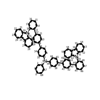 c1ccc(N(c2ccc(-c3ccc(-c4ccccc4-n4c5ccccc5c5ccccc54)cc3)cc2)c2ccc(-c3ccc(-c4ccccc4-n4c5ccccc5c5ccccc54)cc3)cc2)cc1